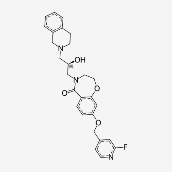 O=C1c2ccc(OCc3ccnc(F)c3)cc2OCCN1C[C@H](O)CN1CCc2ccccc2C1